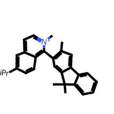 Cc1cc2c(cc1-c1c3ccc(C(C)C)cc3cc[n+]1C)C(C)(C)c1ccccc1-2